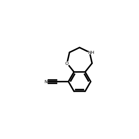 N#Cc1cccc2c1OCCNC2